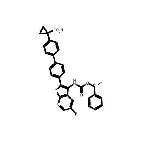 C[C@@H](OC(=O)Nc1c(-c2ccc(-c3ccc(C4(C(=O)O)CC4)cc3)cc2)oc2ncc(F)cc12)c1ccccc1